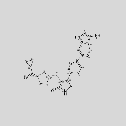 Nc1n[nH]c2cc(-c3ccc(-c4n[nH]c(=O)n4C[C@@H]4CCN(C(=O)C5CC5)C4)cc3)ccc12